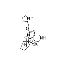 CN1CCCC1COc1nc2c(c(N3CC4CCC(C3)N4C(=O)OC(C)(C)C)n1)CCNC2